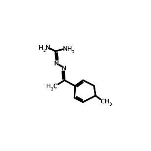 C/C(=N\N=C(N)N)C1=CCC(C)C=C1